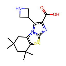 CC1(C)Cc2c(sc3nc(C(=O)O)c(C4CNC4)n23)C(C)(C)C1